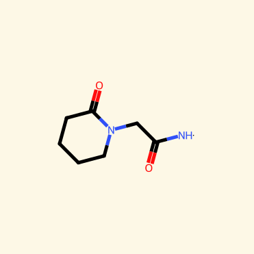 [NH]C(=O)CN1CCCCC1=O